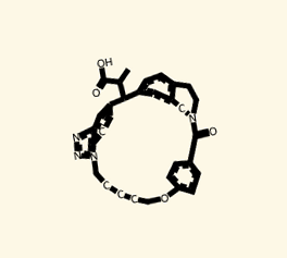 CC(C(=O)O)C1c2ccc3c(c2)CN(CC3)C(=O)c2ccc(cc2)OCCCCCn2nnc3cc1ccc32